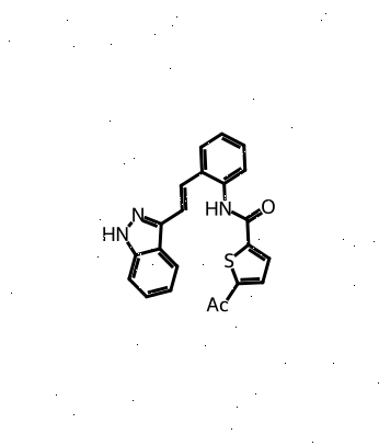 CC(=O)c1ccc(C(=O)Nc2ccccc2C=Cc2n[nH]c3ccccc23)s1